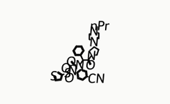 CCCN1CCN(C2CCN(C(=O)C(c3ccccc3)n3c(=O)n(S(=O)(=O)c4ccsc4)c4ccc(C#N)cc43)C2)CC1